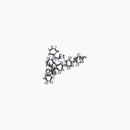 CC/C=C(\c1ccccc1)c1ccnc2c1c1cc(-c3ccc(N4CCN(C)CC4)cc3)ccc1n2S(=O)(=O)c1ccccc1